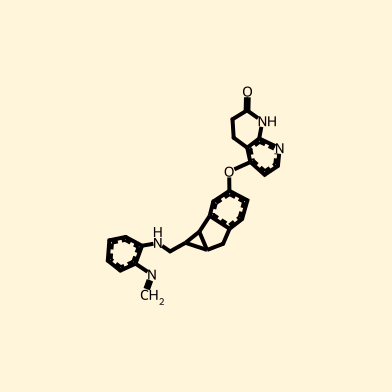 C=Nc1ccccc1NCC1C2Cc3ccc(Oc4ccnc5c4CCC(=O)N5)cc3C12